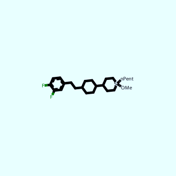 CCCCC[Si]1(OC)CCC(C2CCC(CCc3ccc(F)c(F)c3)CC2)CC1